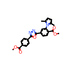 COC(=O)c1ccc(-c2nnc(-c3ccc(C(=O)OC)c(-n4c(C)ccc4C)c3)o2)cc1